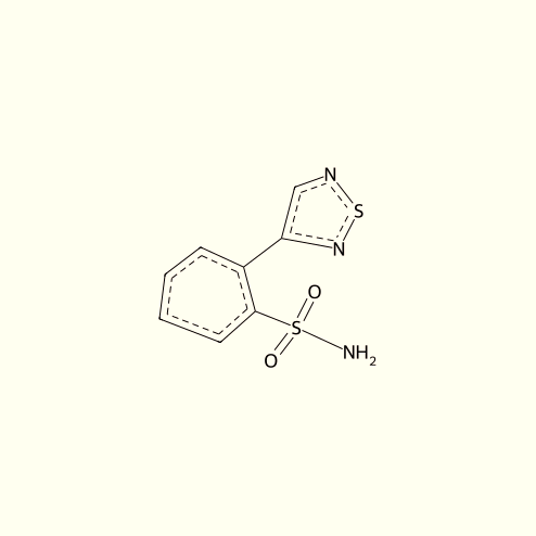 NS(=O)(=O)c1ccccc1-c1cnsn1